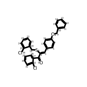 O=C(C(=Cc1ccc(OCc2ccccc2)cc1)SCc1ccccc1Cl)c1ccccc1Cl